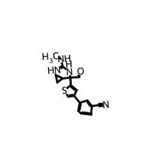 CNC(=N)NC(C=O)(c1cc(-c2cccc(C#N)c2)cs1)C1CC1